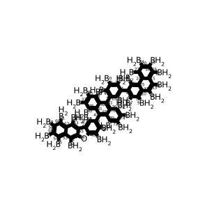 Bc1c(B)c(-c2c(B)c(B)c3c(B)c(B)c4c(B)c(B)c(B)c(B)c4c3c2B)c(B)c(-c2c3c(B)c(B)c(B)c(B)c3c(-c3c(B)c(B)c4oc5c(B)c6c(B)c(B)c(B)c(B)c6c(B)c5c4c3B)c3c(B)c(B)c(B)c(B)c23)c1B